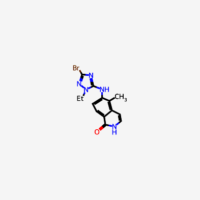 CCn1nc(Br)nc1Nc1ccc2c(=O)[nH]ccc2c1C